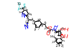 N#C/C(=C\c1cccc(CCOC(=O)N[C@@H](Cc2ccccc2)B(O)O)c1)c1ccc(C(F)(F)F)cn1